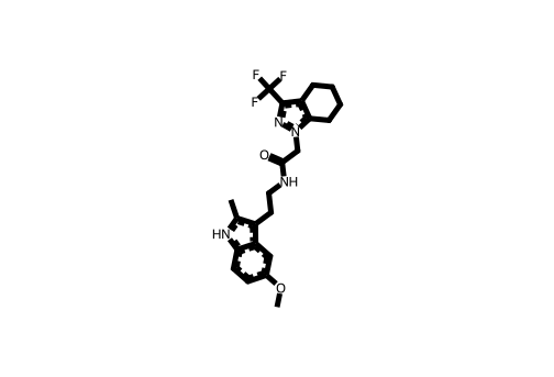 COc1ccc2[nH]c(C)c(CCNC(=O)Cn3nc(C(F)(F)F)c4c3CCCC4)c2c1